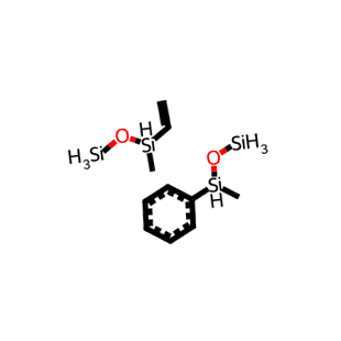 C=C[SiH](C)O[SiH3].C[SiH](O[SiH3])c1ccccc1